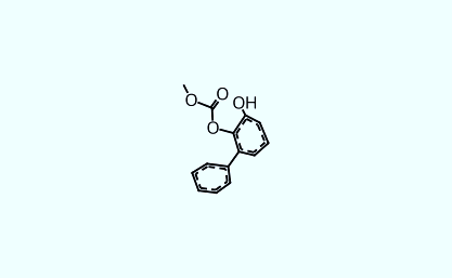 COC(=O)Oc1c(O)cccc1-c1ccccc1